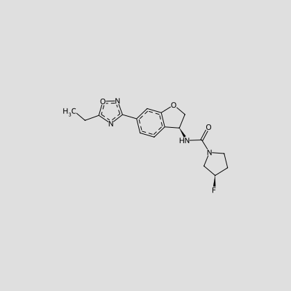 CCc1nc(-c2ccc3c(c2)OC[C@H]3NC(=O)N2CC[C@@H](F)C2)no1